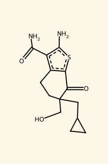 NC(=O)c1c(N)sc2c1CCC(CO)(CC1CC1)C2=O